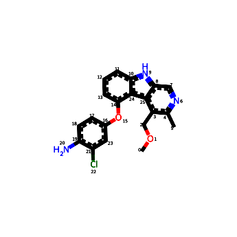 COCc1c(C)ncc2[nH]c3cccc(Oc4ccc(N)c(Cl)c4)c3c12